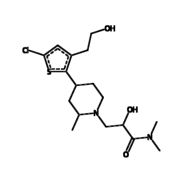 CC1CC(c2sc(Cl)cc2CCO)CCN1CC(O)C(=O)N(C)C